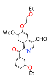 CCOCCOc1cc2c(C=O)cnc(C(=O)c3cccc(OCC)c3)c2cc1OC